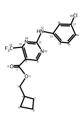 O=C(OCC1CCC1)c1cnc(Nc2cccc(Cl)c2)nc1C(F)(F)F